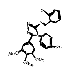 COc1cc(-c2nnc(SCc3ccccc3Cl)n2-c2ccc(O)cc2)cc(OC)c1OC